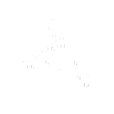 C=C[C@@H]1C[C@]1(NC(=O)[C@@H]1C[C@@H](Oc2cc(-c3csc(NC(C)C)n3)nc3cc(OC)ccc23)CN1C(=O)[C@@H](NC(=O)OC1CCCC1)C(C)(C)C)P(=O)(O)OCC(F)(F)F